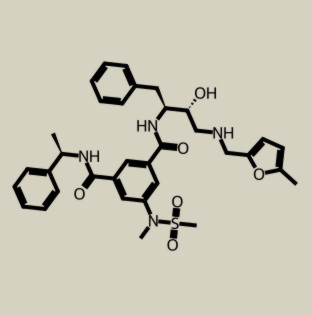 Cc1ccc(CNC[C@@H](O)[C@H](Cc2ccccc2)NC(=O)c2cc(C(=O)N[C@H](C)c3ccccc3)cc(N(C)S(C)(=O)=O)c2)o1